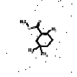 COC(=O)C1=C(C)CCC(C)(C)C1